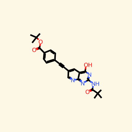 CC(C)(C)OC(=O)c1ccc(C#Cc2cnc3nc(NC(=O)C(C)(C)C)nc(O)c3c2)cc1